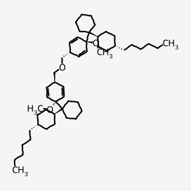 CCCCCC[C@H]1CC[C@H](C2([C@]3(OC)C=C[C@H](COC[C@H]4C=C[C@@](OC)(C5([C@H]6CC[C@H](CCCCCC)CC6)CCCCC5)C=C4)C=C3)CCCCC2)CC1